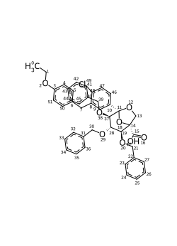 CCOc1ccc(Cc2cc([C@]34OC[C@](C(=O)O)(O3)[C@@H](OCc3ccccc3)[C@H](OCc3ccccc3)[C@H]4OCc3ccccc3)ccc2Cl)cc1